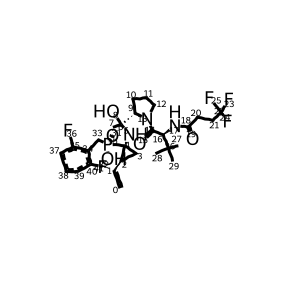 C=C[C@@H]1C[C@]1(NC(C)(O)[C@@H]1CCCN1C(=O)[C@@H](NC(=O)CCC(F)(F)F)C(C)(C)C)P(=O)(O)Cc1c(F)cccc1F